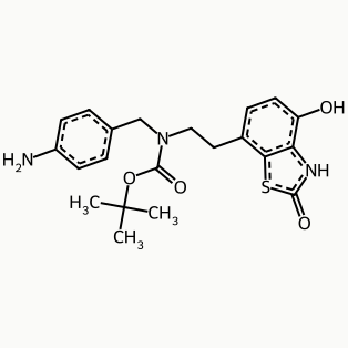 CC(C)(C)OC(=O)N(CCc1ccc(O)c2[nH]c(=O)sc12)Cc1ccc(N)cc1